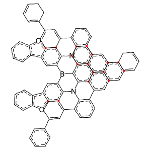 C1=CCCC(C2=CCCC(c3cccc(-c4cccc(C5C=CC=CC5)c4)c3N3c4cc5oc6ccccc6c5cc4B4c5cc6c(cc5N(c5c(C7=CCCC(c8ccccc8)=C7)cccc5-c5cccc(-c7ccccc7)c5)c5cc(-c7ccccc7)cc3c54)oc3ccccc36)=C2)=C1